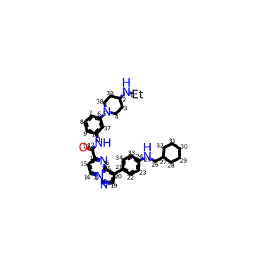 CCNC1CCN(c2cccc(NC(=O)c3ccn4ncc(-c5ccc(NCC6CCCCC6)cc5)c4n3)c2)CC1